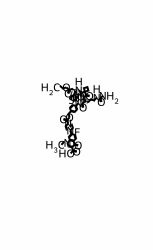 C=CCOC(=O)C[C@@H](NC(=O)C1(C(=O)N[C@@H](CCCNC(N)=O)C(=O)Nc2ccc(COC(=O)N3CCN(c4cc5c(cc4F)c(=O)c(C(=O)O)cn5CC)CC3)cc2)CCC1)c1ccsc1